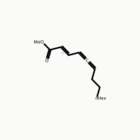 CCCCCCCCC=C=C/C=C/C(=O)OC